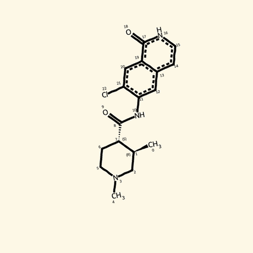 C[C@H]1CN(C)CC[C@@H]1C(=O)Nc1cc2cc[nH]c(=O)c2cc1Cl